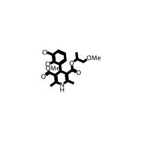 COCC(C)OC(=O)C1=C(C)NC(C)=C(C(=O)OC)C1c1cccc(Cl)c1Cl